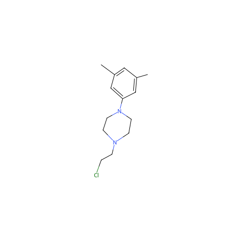 Cc1cc(C)cc(N2CCN(CCCl)CC2)c1